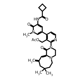 C=C1/C=C2/C(=O)N(c3nccc(-c4cc(NC(=O)C5CCC5)c(=O)n(C)c4)c3COC(C)=O)CCN2CCC(C)(C)C1